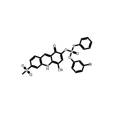 CS(=O)(=O)c1ccc2cc3c(=O)c(OP(=O)(Oc4cccc(Br)c4)Sc4ccccc4)cc(C#N)c-3[nH]c2c1